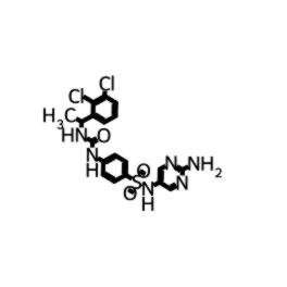 CC(NC(=O)Nc1ccc(S(=O)(=O)Nc2cnc(N)nc2)cc1)c1cccc(Cl)c1Cl